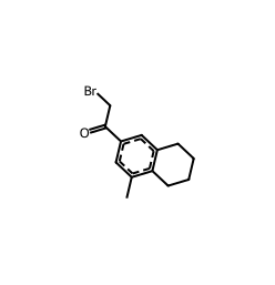 Cc1cc(C(=O)CBr)cc2c1CCCC2